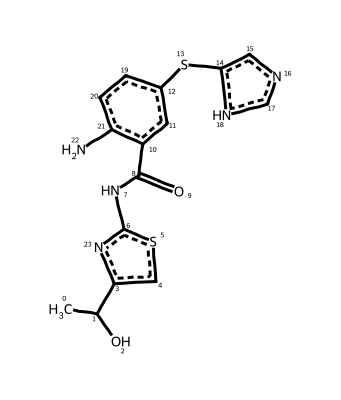 CC(O)c1csc(NC(=O)c2cc(Sc3cnc[nH]3)ccc2N)n1